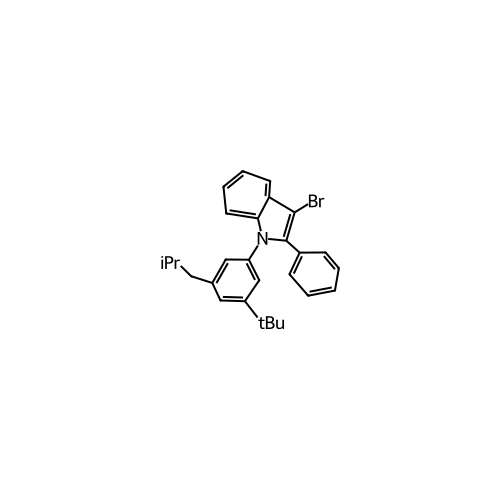 CC(C)Cc1cc(-n2c(-c3ccccc3)c(Br)c3ccccc32)cc(C(C)(C)C)c1